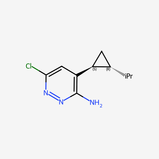 CC(C)[C@H]1C[C@@H]1c1cc(Cl)nnc1N